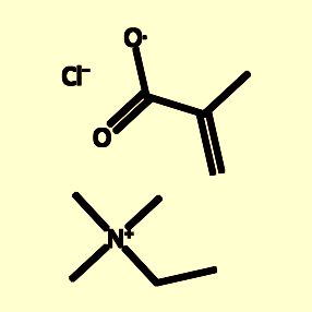 C=C(C)C([O])=O.CC[N+](C)(C)C.[Cl-]